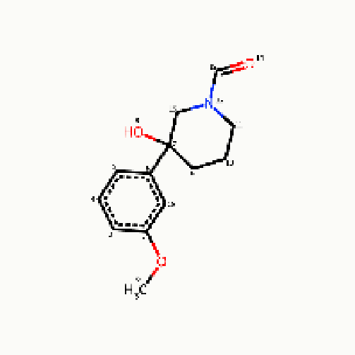 COc1cccc(C2(O)CCCN(C=O)C2)c1